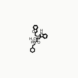 CC(Cc1c[nH]c2ccccc12)(NCc1cc2ccccc2o1)C(=O)NCCC1CCCCC1